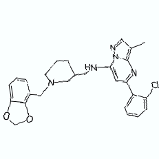 Cc1cnn2c(NCC3CCCN(Cc4cccc5c4OCO5)C3)cc(-c3ccccc3Cl)nc12